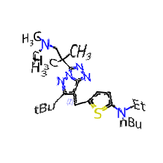 CCCCN(CC)c1ccc(/C=c2/c(C(C)(C)C)nn3c(C(C)(C)CN(C)C)nnc23)s1